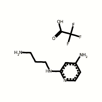 NCCCNc1cc(N)ccn1.O=C(O)C(F)(F)F